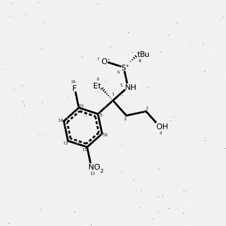 CC[C@@](CCO)(N[S@+]([O-])C(C)(C)C)c1cc([N+](=O)[O-])ccc1F